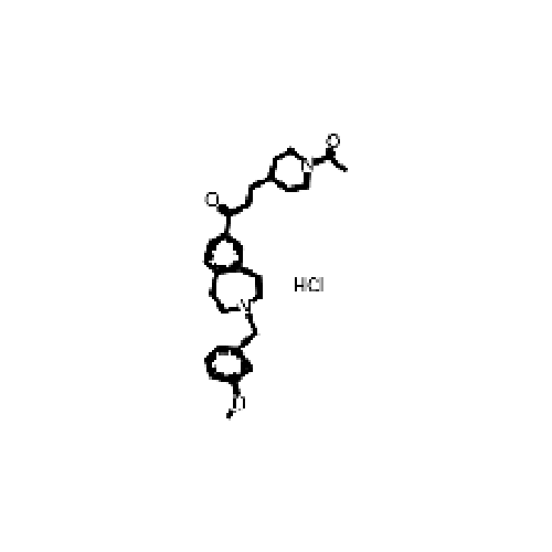 COc1cccc(CN2CCc3ccc(C(=O)CCC4CCN(C(C)=O)CC4)cc3CC2)c1.Cl